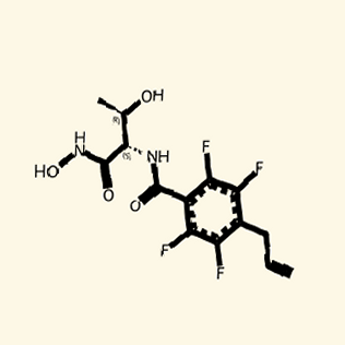 C=CCc1c(F)c(F)c(C(=O)N[C@H](C(=O)NO)[C@@H](C)O)c(F)c1F